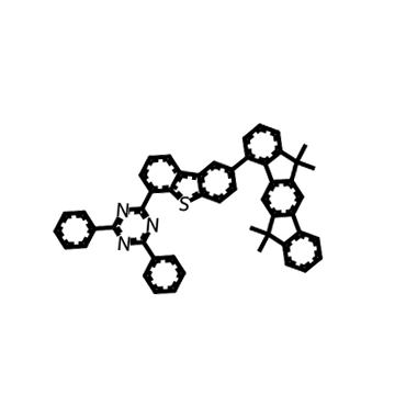 CC1(C)c2ccccc2-c2cc3c(cc21)-c1c(-c2ccc4sc5c(-c6nc(-c7ccccc7)nc(-c7ccccc7)n6)cccc5c4c2)cccc1C3(C)C